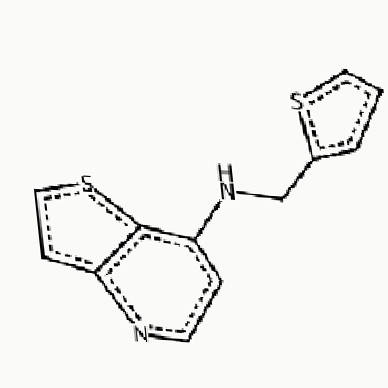 c1csc(CNc2ccnc3ccsc23)c1